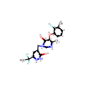 CC(F)(F)c1cc(Cn2cnc(C(F)(F)F)c(Oc3cccc(C#N)c3F)c2=O)c(=O)[nH]n1